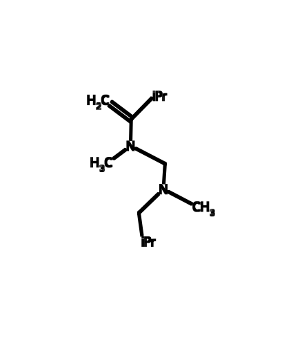 C=C(C(C)C)N(C)CN(C)CC(C)C